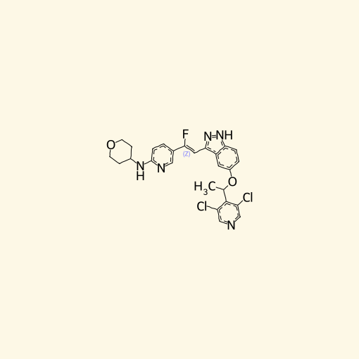 CC(Oc1ccc2[nH]nc(/C=C(\F)c3ccc(NC4CCOCC4)nc3)c2c1)c1c(Cl)cncc1Cl